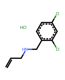 C=CCNCc1ccc(Cl)cc1Cl.Cl